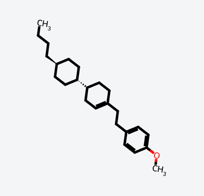 CCCC[C@H]1CC[C@H](C2CC=C(CCc3ccc(OC)cc3)CC2)CC1